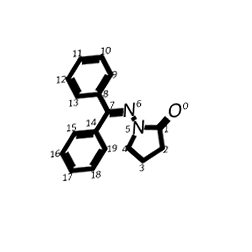 O=C1CCCN1N=C(c1ccccc1)c1ccccc1